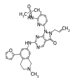 C=CCn1c(=O)c2cnc(Nc3cc4c(c(-c5ccco5)c3)CCN(C)C4)nc2n1-c1cccc(N[SH](C)(C)=O)n1